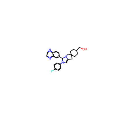 OCC1CCC2(CC1)CC1=CN(c3ccc(F)cc3)C(c3ccc4nccnc4c3)N1C2